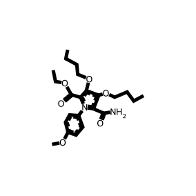 CCCCOc1c(OCCCC)c(C(=O)OCC)n(-c2ccc(OC)cc2)c1C(N)=O